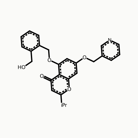 CC(C)c1cc(=O)c2c(OCc3ccccc3CO)cc(OCc3cccnc3)cc2o1